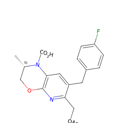 CC(=O)OCc1nc2c(cc1Cc1ccc(F)cc1)N(C(=O)O)[C@@H](C)CO2